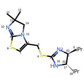 CC(C)[C@@H]1N=C(SCC2=CSC3=NC(C)(C)CN23)N[C@H]1C(C)C